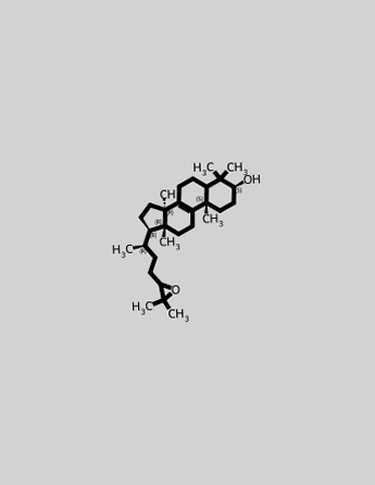 C[C@H](CCC1OC1(C)C)[C@H]1CC[C@@]2(C)C3=C(CC[C@]12C)[C@@]1(C)CC[C@H](O)C(C)(C)C1CC3